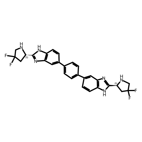 FC1(F)CN[C@H](c2nc3cc(-c4ccc(-c5ccc6[nH]c([C@@H]7CC(F)(F)CN7)nc6c5)cc4)ccc3[nH]2)C1